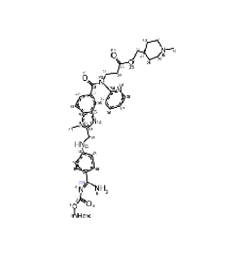 CCCCCCOC(=O)/N=C(\N)c1ccc(NCc2nc3cc(C(=O)N(CCC(=O)OCC4CCN(C)CC4)c4ccccn4)ccc3n2C)cc1